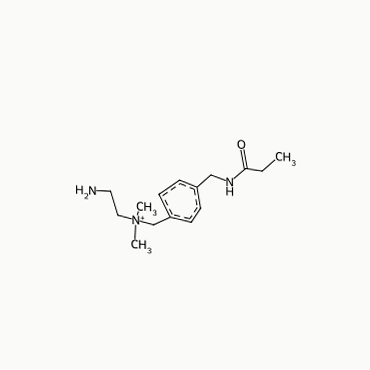 CCC(=O)NCc1ccc(C[N+](C)(C)CCN)cc1